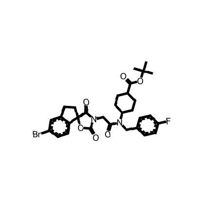 CC(C)(C)OC(=O)C1CCC(N(Cc2ccc(F)cc2)C(=O)CN2C(=O)OC3(CCc4cc(Br)ccc43)C2=O)CC1